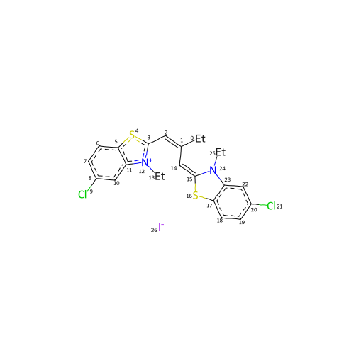 CCC(=Cc1sc2ccc(Cl)cc2[n+]1CC)C=C1Sc2ccc(Cl)cc2N1CC.[I-]